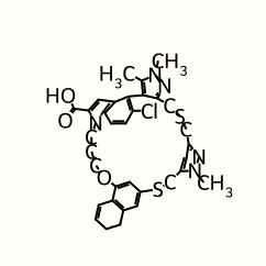 Cc1c2c(nn1C)CSCc1cc(n(C)n1)CSc1cc3c(c(c1)OCCCn1c(C(=O)O)cc4c-2c(Cl)ccc41)C=CCC3